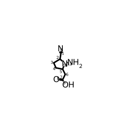 N#CC1CCC(CC(=O)O)N1N